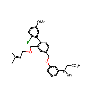 CCC[C@H](CC(=O)O)c1cccc(OCc2ccc(-c3cc(OC)ccc3F)c(COCC=C(C)C)c2)c1